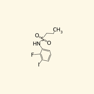 CCCS(=O)(=O)Nc1cccc(I)c1F